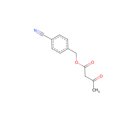 CC(=O)CC(=O)OCc1ccc(C#N)cc1